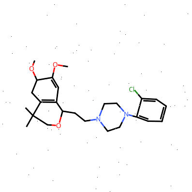 COC1=CC2=C(CC1OC)C(C)(C)COC2CCN1CCN(c2ccccc2Cl)CC1